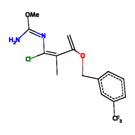 C=C(OCc1cccc(C(F)(F)F)c1)/C(C)=C(Cl)\N=C(/N)OC